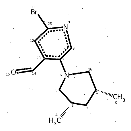 C[C@@H]1C[C@H](C)CN(c2cnc(Br)cc2C=O)C1